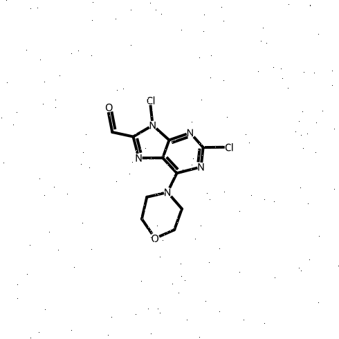 O=Cc1nc2c(N3CCOCC3)nc(Cl)nc2n1Cl